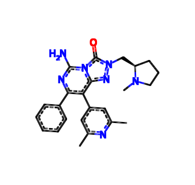 Cc1cc(-c2c(-c3ccccc3)nc(N)n3c(=O)n(C[C@H]4CCCN4C)nc23)cc(C)n1